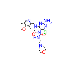 COc1c(C)cnc(CN2CC(=O)N(C(=O)NCCN3CCOCC3)c3c(Cl)nc(N)nc32)c1C